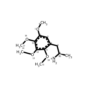 COc1cc(C[C@@H](C)N)c(OC)c(OC)c1OC